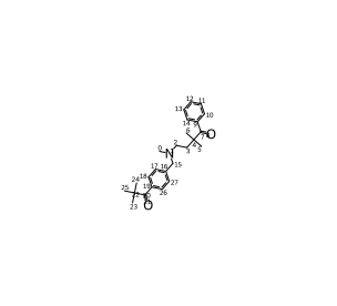 CN(CCC(C)(C)C(=O)c1ccccc1)Cc1ccc(C(=O)C(C)(C)C)cc1